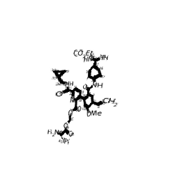 C=Cc1cc(C(=O)Nc2ccc(C(=N)NC(=O)OCC)cc2)c(-c2ccc(C(=O)NCC3CC3)nc2C(=O)OCOC(=O)[C@@H](N)C(C)C)cc1OC